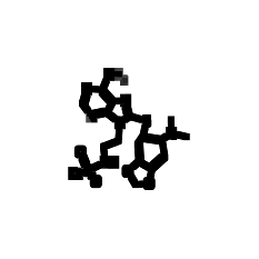 CCS(=O)(=O)NCCn1c(Sc2cc3c(cc2N(C)C)OCO3)nc2c(N)ncnc21